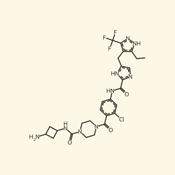 CCc1[nH]nc(C(F)(F)F)c1Cc1cnc(C(=O)Nc2ccc(C(=O)N3CCN(C(=O)NC4CC(N)C4)CC3)c(Cl)c2)[nH]1